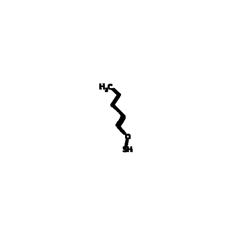 CCC/C=C/OS